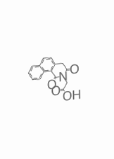 O=C(O)CN1C(=O)Cc2ccc3ccccc3c2C1=O